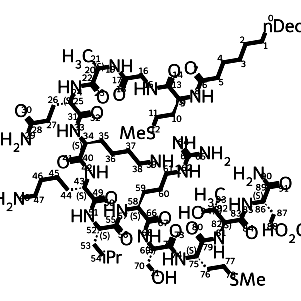 CCCCCCCCCCCCCCCC(=O)N[C@@H](CCSC)C(=O)NCC(=O)N[C@@H](C)C(=O)N[C@@H](CCC(N)=O)C(=O)N[C@@H](CCCCN)C(=O)N[C@@H](CCCCN)C(=O)N[C@@H](CC(C)C)C(=O)N[C@@H](CCCNC(=N)N)C(=O)N[C@@H](CO)C(=O)N[C@@H](CCSC)C(=O)N[C@H](C(=O)N[C@@H](CC(=O)O)C(N)=O)[C@@H](C)O